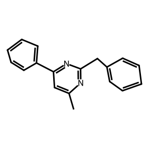 Cc1cc(-c2ccccc2)nc(Cc2ccccc2)n1